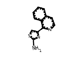 Nc1nc(-c2nccc3ccccc23)cs1